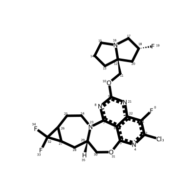 Fc1c(Cl)nc2c3c(nc(OC[C@@]45CCCN4C[C@H](F)C5)nc13)N1CCC3C(C[C@H]1CO2)C3(F)F